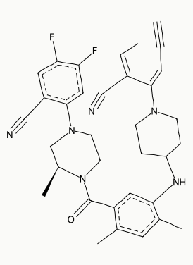 C#C/C=C(\C(C#N)=C/C)N1CCC(Nc2cc(C(=O)N3CCN(c4cc(F)c(F)cc4C#N)C[C@@H]3C)c(C)cc2C)CC1